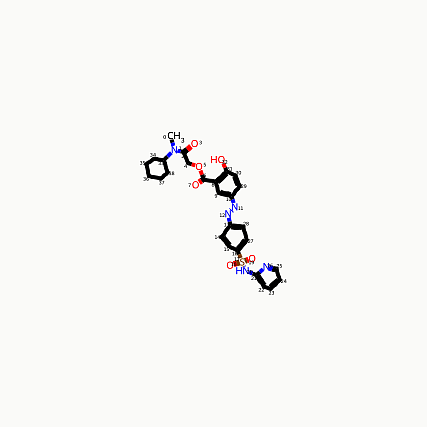 CN(C(=O)COC(=O)c1cc(N=Nc2ccc(S(=O)(=O)Nc3ccccn3)cc2)ccc1O)C1CCCCC1